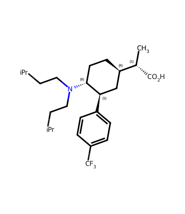 CC(C)CCN(CCC(C)C)[C@@H]1CC[C@@H]([C@H](C)C(=O)O)C[C@H]1c1ccc(C(F)(F)F)cc1